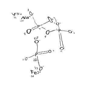 O=P([O-])([O-])OP(=O)([O-])[O-].O=P([O-])([O-])[O-].[Fe+2].[Na+].[V+5]